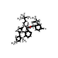 COc1cccc(OC)c1-n1c(-c2ccn(C)n2)nnc1N(CC[Si](C)(C)C)S(=O)(=O)C[C@H](O)c1ccc(F)cc1S(C)(=O)=O